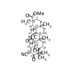 COC(=O)C1(C)CC[C@]2(C)CC[C@]3(C)C(=CC(=O)[C@@H]4[C@@]5(C)C=C(C#N)C(=O)C(C)(C)C5CC[C@]43C)[C@H]2C1